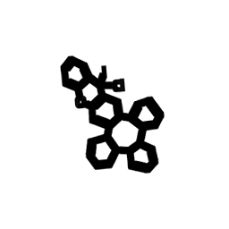 ClC1(I)c2ccccc2Oc2cc3c(cc21)-c1ccccc1C1C=CC=CC1C1C=CC=CC31